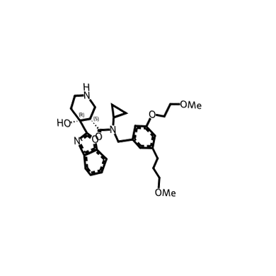 COCCCc1cc(CN(C(=O)[C@H]2CNCC[C@]2(O)c2nc3ccccc3o2)C2CC2)cc(OCCOC)c1